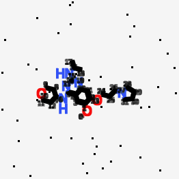 COc1cc2c(NC3CCOCC3)nc(NC(C)C)nc2cc1OCCCN1CCCC1